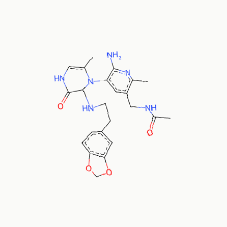 CC(=O)NCc1cc(N2C(C)=CNC(=O)C2NCCc2ccc3c(c2)OCO3)c(N)nc1C